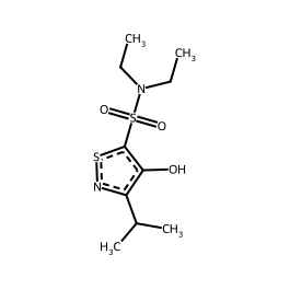 CCN(CC)S(=O)(=O)c1snc(C(C)C)c1O